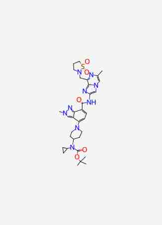 Cc1cn2cc(NC(=O)c3ccc(N4CCC(N(C(=O)OC(C)(C)C)C5CC5)CC4)c4cn(C)nc34)nc2c(CN2CCCS2(=O)=O)n1